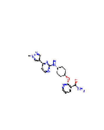 Cn1cc(-c2ccnc(N[C@H]3CC[C@H](Oc4ncccc4C(N)=O)CC3)n2)cn1